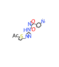 CC(=O)c1ccc(Cn2cc(NC(=O)c3ncoc3-c3cccc(N(C)C)c3)cn2)s1